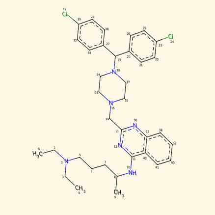 CCN(CC)CCCC(C)Nc1nc(CN2CCN(C(c3ccc(Cl)cc3)c3ccc(Cl)cc3)CC2)nc2ccccc12